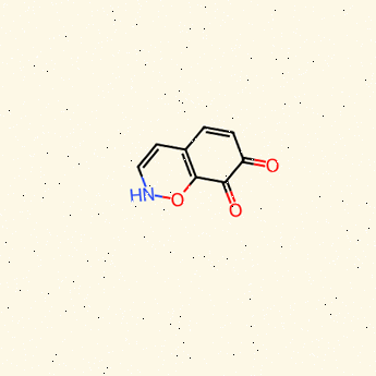 O=c1ccc2cc[nH]oc=2c1=O